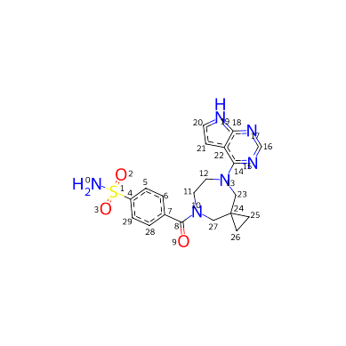 NS(=O)(=O)c1ccc(C(=O)N2CCN(c3ncnc4[nH]ccc34)CC3(CC3)C2)cc1